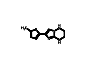 Cc1ccc(-c2cn3c(n2)NCCN3)s1